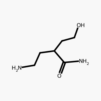 NCCC(CCO)C(N)=O